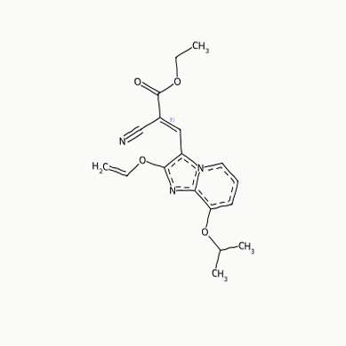 C=COc1nc2c(OC(C)C)cccn2c1/C=C(\C#N)C(=O)OCC